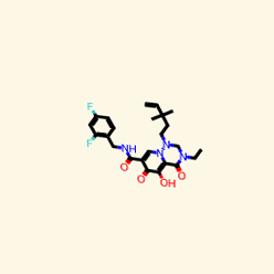 C=CC(C)(C)CCN1CN(CC)C(=O)c2c(O)c(=O)c(C(=O)NCc3ccc(F)cc3F)cn21